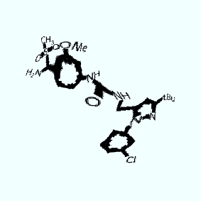 COc1cc(NC(=O)NCc2cc(C(C)(C)C)nn2-c2cccc(Cl)c2)ccc1C(N)S(C)(=O)=O